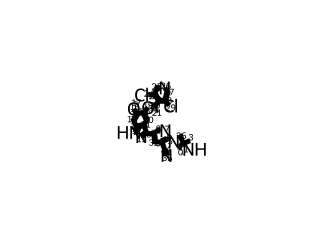 CNC1(C)CN(c2ncc(-c3n[nH]c4cc(OC)c(O[C@H](C)c5c(Cl)cncc5Cl)cc34)cc2C#N)C1